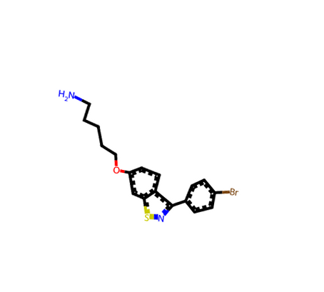 NCCCCCOc1ccc2c(-c3ccc(Br)cc3)nsc2c1